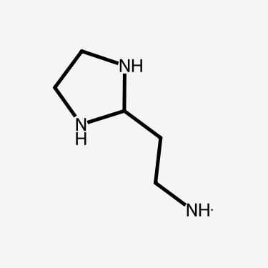 [NH]CCC1NCCN1